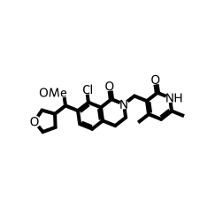 COC(c1ccc2c(c1Cl)C(=O)N(Cc1c(C)cc(C)[nH]c1=O)CC2)C1CCOC1